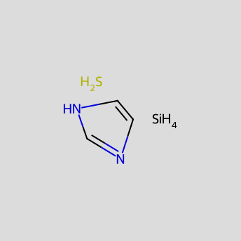 S.[SiH4].c1c[nH]cn1